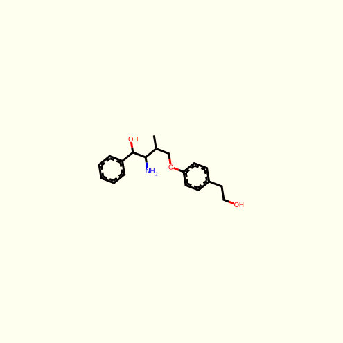 CC(COc1ccc(CCO)cc1)C(N)C(O)c1ccccc1